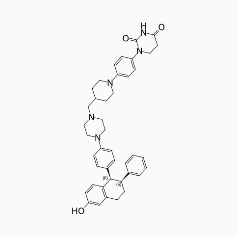 O=C1CCN(c2ccc(N3CCC(CN4CCN(c5ccc([C@@H]6c7ccc(O)cc7CC[C@@H]6c6ccccc6)cc5)CC4)CC3)cc2)C(=O)N1